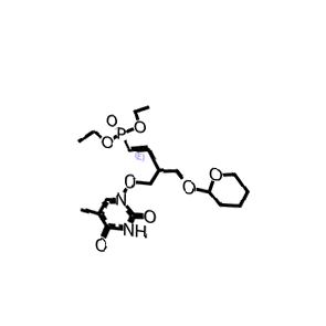 CCOP(=O)(/C=C/C(COC1CCCCO1)COn1cc(C)c(=O)[nH]c1=O)OCC